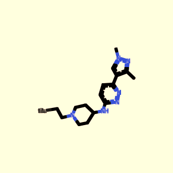 Cc1nn(C)cc1-c1ccc(NC2CCN(CCC(C)(C)C)CC2)nn1